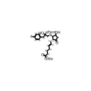 CCCCCC(O)(CS[C@H]1C(O)CC(=O)[C@@H]1CC=CCCCC(=O)OC)Cc1ccc(F)cc1